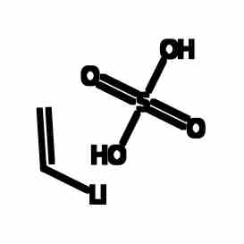 O=S(=O)(O)O.[Li][CH]=C